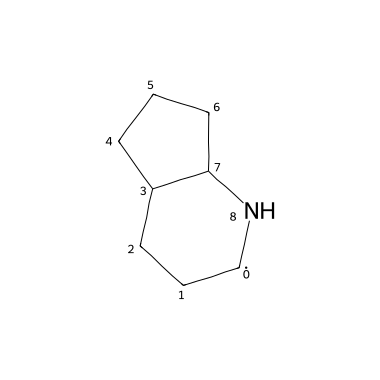 [CH]1CCC2CCCC2N1